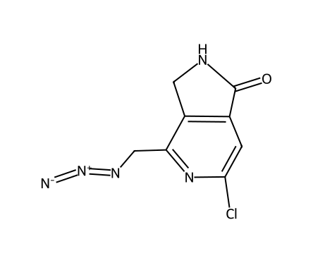 [N-]=[N+]=NCc1nc(Cl)cc2c1CNC2=O